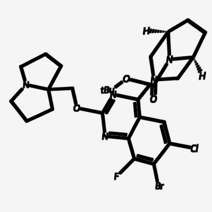 CC(C)(C)OC(=O)N1[C@@H]2CC[C@H]1CN(c1nc(OCC34CCCN3CCC4)nc3c(F)c(Br)c(Cl)cc13)C2